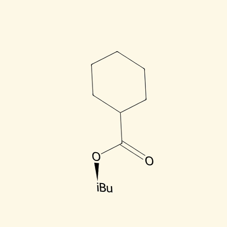 C[CH][C@H](C)OC(=O)C1CCCCC1